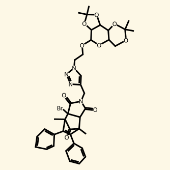 CC1(C)OCC2OC(OCCn3cc(CN4C(=O)C5C6(C)C(=O)C(C)(C(c7ccccc7)=C6c6ccccc6)C5(Br)C4=O)nn3)C3OC(C)(C)OC3C2O1